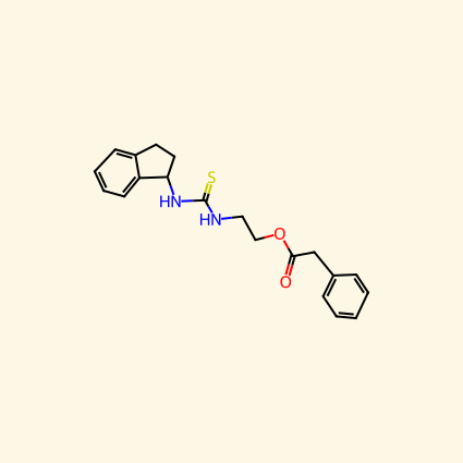 O=C(Cc1ccccc1)OCCNC(=S)NC1CCc2ccccc21